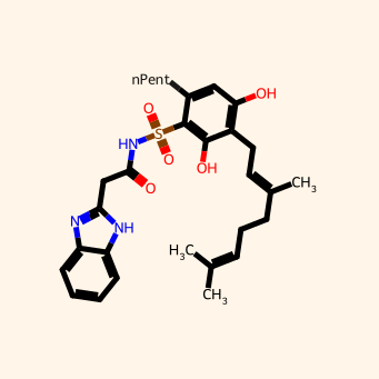 CCCCCc1cc(O)c(C/C=C(\C)CCC=C(C)C)c(O)c1S(=O)(=O)NC(=O)Cc1nc2ccccc2[nH]1